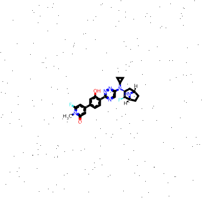 Cn1c(F)cc(-c2ccc(-c3ncc(N(C4CC4)[C@H]4C[C@@H]5CC[C@@H](N5)[C@H]4F)nn3)c(O)c2)cc1=O